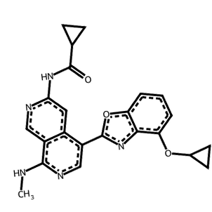 CNc1ncc(-c2nc3c(OC4CC4)cccc3o2)c2cc(NC(=O)C3CC3)ncc12